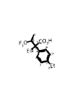 CCc1ccc(C(CC)(C(=O)O)C(C)C(F)(F)F)cc1